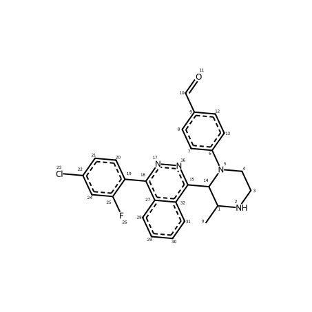 CC1NCCN(c2ccc(C=O)cc2)C1c1nnc(-c2ccc(Cl)cc2F)c2ccccc12